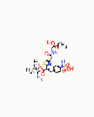 CO[C@H](O)CNC(=O)Cc1csc([C@@H](Cc2ccc(NS(=O)(=O)O)cc2)C(=O)OC(C)(C)C)n1